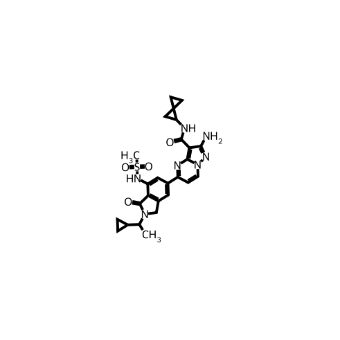 CC(C1CC1)N1Cc2cc(-c3ccn4nc(N)c(C(=O)NC5CC56CC6)c4n3)cc(NS(C)(=O)=O)c2C1=O